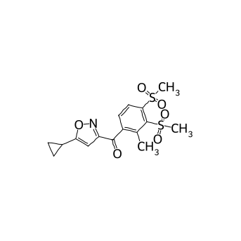 Cc1c(C(=O)c2cc(C3CC3)on2)ccc(S(C)(=O)=O)c1S(C)(=O)=O